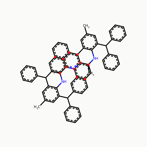 Cc1cc(C(c2ccccc2)c2ccccc2)c(NC(C)c2cccc(C(C)Nc3c(C(c4ccccc4)c4ccccc4)cc(C)cc3C(c3ccccc3)c3ccccc3)n2)c(C(c2ccccc2)c2ccccc2)c1